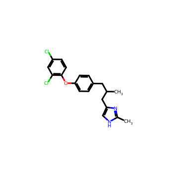 Cc1nc(CC(C)Cc2ccc(Oc3ccc(Cl)cc3Cl)cc2)c[nH]1